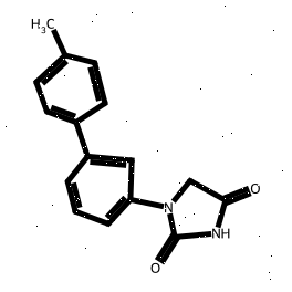 Cc1ccc(-c2cccc(N3CC(=O)NC3=O)c2)cc1